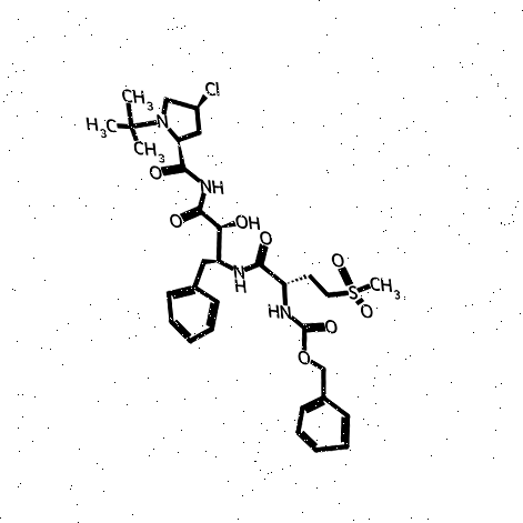 CC(C)(C)N1C[C@@H](Cl)C[C@H]1C(=O)NC(=O)[C@@H](O)[C@H](Cc1ccccc1)NC(=O)[C@H](CCS(C)(=O)=O)NC(=O)OCc1ccccc1